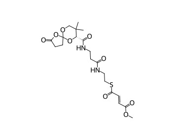 COC(=O)/C=C/C(=O)SCCNC(=O)CCNC(=O)[C@@H]1OC2(CCC(=O)O2)OCC1(C)C